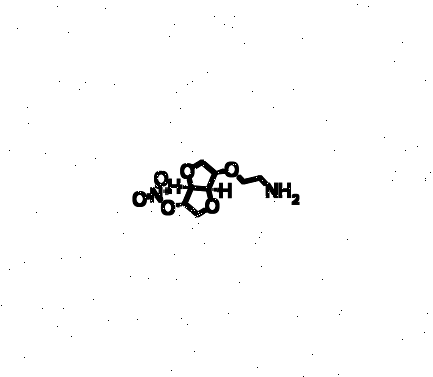 NCCO[C@@H]1CO[C@H]2[C@@H]1OC[C@@H]2O[N+](=O)[O-]